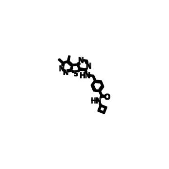 Cc1nnc2sc3c(NCc4ccc(C(=O)NC5CCC5)cc4)ncnc3c2c1C